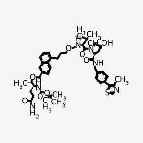 Cc1ncsc1-c1ccc(CNC(=O)[C@@H]2C[C@@H](O)CN2C(=O)[C@@H](NCOCCCc2cccc3cc(CO[C@H](C)[C@H](CCC(N)=O)NC(=O)OC(C)(C)C)ccc23)C(C)(C)C)cc1